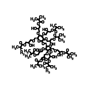 C=C(C)C(=O)OCC(O)COC[C@H]1O[C@H](OC[C@H]2O[C@@](COCC(O)COC(=O)C(=C)C)(OCC(O)COC(=O)C(=C)C)[C@@H](OCC(O)COC(=O)C(=C)C)[C@@H]2OCC(O)COC(=O)C(=C)C)[C@H](OCC(O)COC(=O)C(=C)C)[C@@H](OCC(O)COC(=O)C(=C)C)[C@@H]1OCC(O)COC(=O)C(=C)C